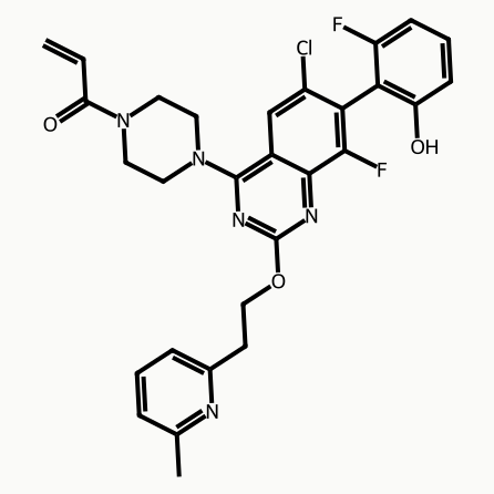 C=CC(=O)N1CCN(c2nc(OCCc3cccc(C)n3)nc3c(F)c(-c4c(O)cccc4F)c(Cl)cc23)CC1